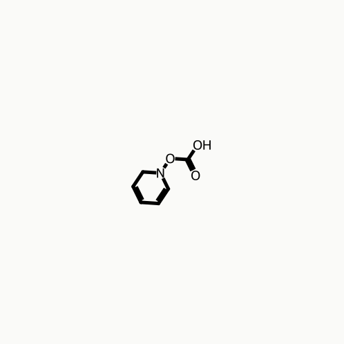 O=C(O)ON1C=CC=CC1